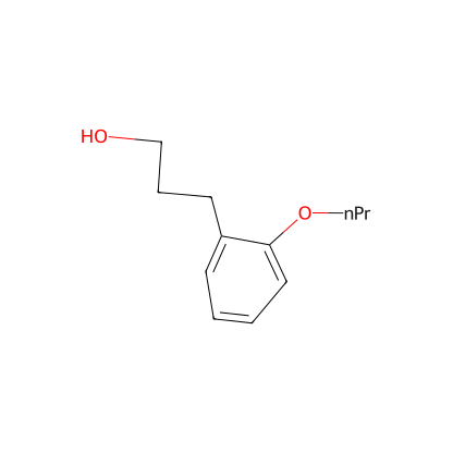 CCCOc1ccccc1CCCO